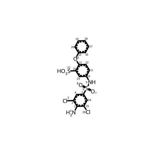 Nc1c(Cl)cc(S(=O)(=O)Nc2ccc(Oc3ccccc3)c(S(=O)(=O)O)c2)cc1Cl